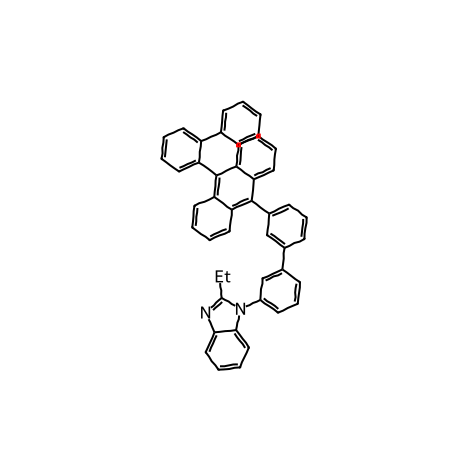 CCc1nc2ccccc2n1-c1cccc(-c2cccc(-c3c4ccccc4c(-c4ccccc4-c4ccccc4)c4ccccc34)c2)c1